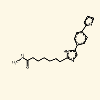 CNC(=O)CCCCCCc1ncc(-c2ccc(-c3cccs3)cc2)[nH]1